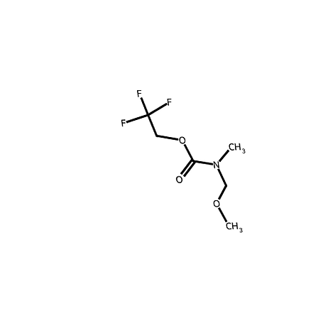 COCN(C)C(=O)OCC(F)(F)F